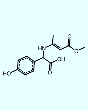 COC(=O)C=C(C)NC(C(=O)O)c1ccc(O)cc1